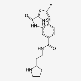 O=C1Nc2cc(C(=O)NCCC3CCCN3)ccc2/C=C(F)\C=C\1NS